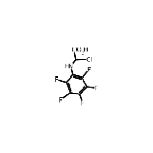 O=C(O)C(Cl)Nc1c(F)c(F)c(F)c(F)c1F